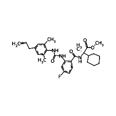 C=CCc1cc(C)c(NC(=O)Nc2cc(F)ccc2C(=O)N[C@@](C)(C(=O)OC)C2CCCCC2)c(C)c1